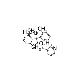 COC(C(=O)OCc1cccnc1)(c1c(C)cccc1C)c1c(C)cccc1C